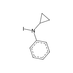 IN(c1ccccc1)C1CC1